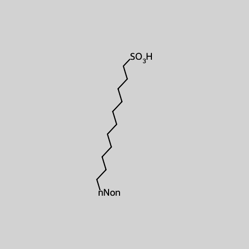 CCCCCCCCCCCCCCCCCCCCS(=O)(=O)O